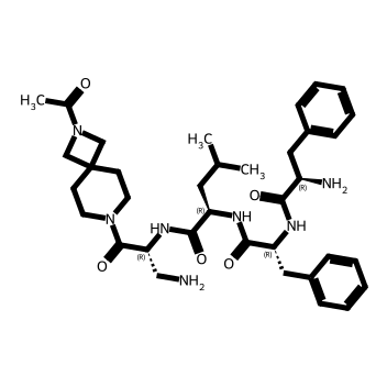 CC(=O)N1CC2(CCN(C(=O)[C@@H](CN)NC(=O)[C@@H](CC(C)C)NC(=O)[C@@H](Cc3ccccc3)NC(=O)[C@H](N)Cc3ccccc3)CC2)C1